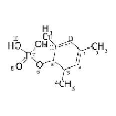 CC1=CC(C)C(OP(=O)(O)O)C(C)=C1